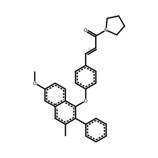 COc1ccc2c(Oc3ccc(/C=C/C(=O)N4CCCC4)cc3)c(-c3ccccc3)c(C)cc2c1